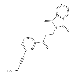 O=C(CCN1C(=O)c2ccccc2C1=O)c1cccc(C#CCO)c1